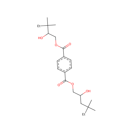 CCC(C)(C)CC(O)COC(=O)c1ccc(C(=O)OCC(O)C(C)(C)CC)cc1